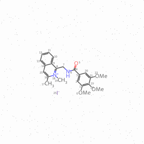 COc1cc(C(=O)NCc2c3ccccc3cc(C)[n+]2C)cc(OC)c1OC.[I-]